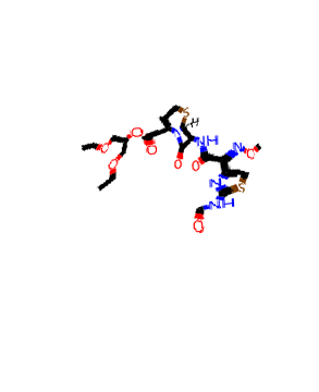 CCOCC(COCC)OC(=O)C1=CCS[C@H]2C(NC(=O)C(=NOC)c3csc(NC=O)n3)C(=O)N12